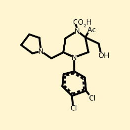 CC(=O)C1(CO)CN(c2ccc(Cl)c(Cl)c2)C(CN2CCCC2)CN1C(=O)O